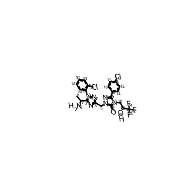 CC(N)c1nc(Cn2nc(-c3ccc(Cl)cc3)n(C[C@H](O)C(F)(F)F)c2=O)nn1-c1ccccc1Cl